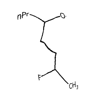 CCCC([O])CCC(C)F